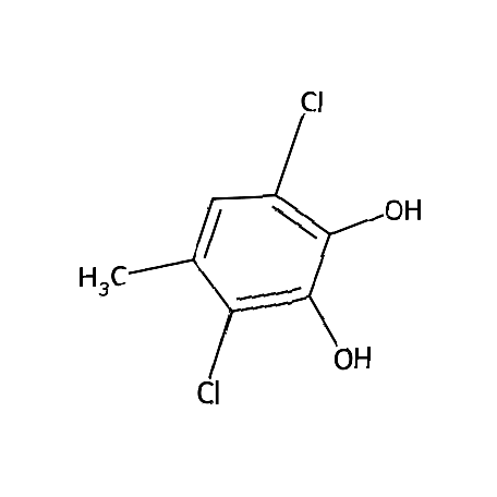 Cc1cc(Cl)c(O)c(O)c1Cl